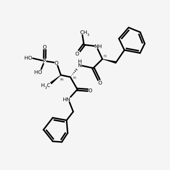 CC(=O)N[C@@H](Cc1ccccc1)C(=O)N[C@H](C(=O)NCc1ccccc1)[C@@H](C)OP(=O)(O)O